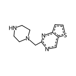 c1cc2nc(CN3CCNCC3)ncc2s1